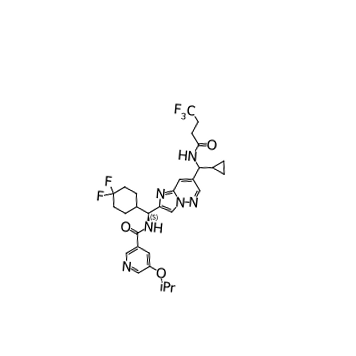 CC(C)Oc1cncc(C(=O)N[C@H](c2cn3ncc(C(NC(=O)CCC(F)(F)F)C4CC4)cc3n2)C2CCC(F)(F)CC2)c1